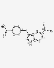 O=C(O)c1ccc(Cc2c[nH]c3ccc([N+](=O)[O-])cc23)cc1